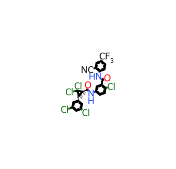 N#Cc1cc(C(F)(F)F)ccc1NC(=O)c1cc(NC(=O)[C@H]2[C@H](c3cc(Cl)cc(Cl)c3)C2(Cl)Cl)ccc1Cl